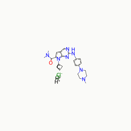 CN1CCN(c2ccc(Nc3ncc4cc(C(=O)N(C)C)n(C56CC(C5)C6)c4n3)cc2)CC1.[Cl-].[Cl-].[H+].[H+]